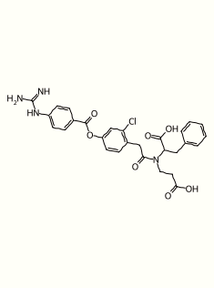 N=C(N)Nc1ccc(C(=O)Oc2ccc(CC(=O)N(CCC(=O)O)C(Cc3ccccc3)C(=O)O)c(Cl)c2)cc1